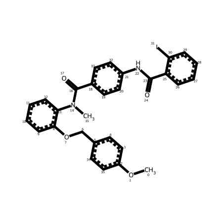 COc1ccc(COc2ccccc2N(C)C(=O)c2ccc(NC(=O)c3ccccc3I)cc2)cc1